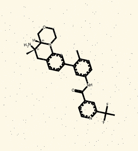 Cc1ccc(NC(=O)c2ccnc(C(C)(F)F)c2)cc1-c1ccc2c(c1)N1CCOC[C@H]1[C@@](C)(N)C2